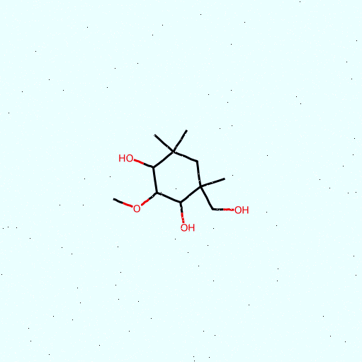 COC1C(O)C(C)(C)CC(C)(CO)C1O